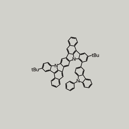 CC(C)(C)c1ccc2c(c1)c1c3ccccc3cc3c4cc5c(cc4n2c31)c1cc2ccccc2c2c3cc(C(C)(C)C)cc(-c4ccc6c(c4)c4ccccc4n6-c4ccccc4)c3n5c12